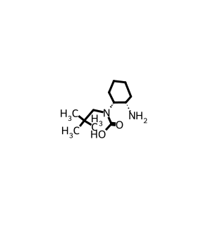 CC(C)(C)CN(C(=O)O)[C@@H]1CCCC[C@@H]1N